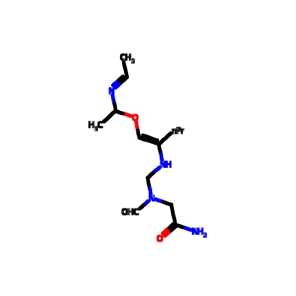 C/C=N/C(C)O/C=C(\CCC)NCN(C=O)CC(N)=O